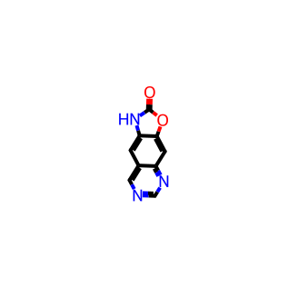 O=c1[nH]c2cc3cncnc3cc2o1